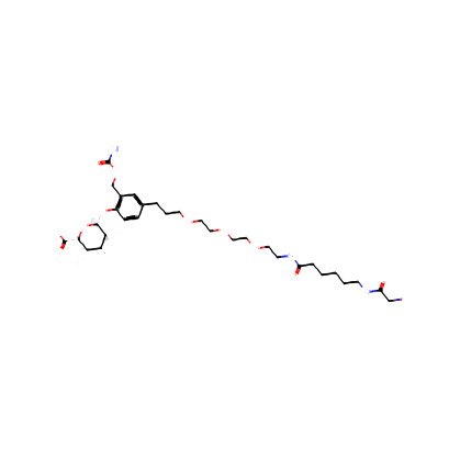 NC(=O)OCc1cc(CCCOCCOCCOCCNC(=O)CCCCCNC(=O)CI)ccc1O[C@@H]1O[C@H](C(=O)O)[C@@H](O)[C@H](O)[C@H]1O